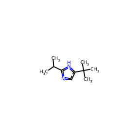 CC(C)c1ncc(C(C)(C)C)[nH]1